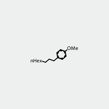 CCCCCCCCCc1ccc(OC)cc1